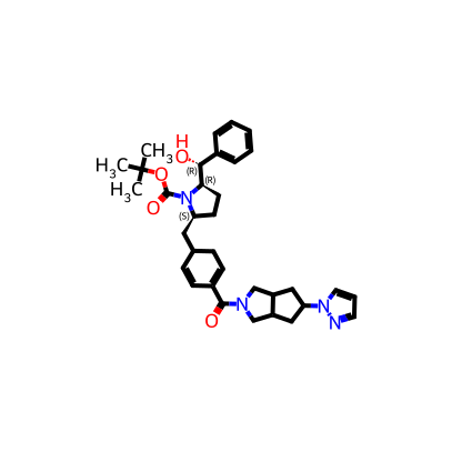 CC(C)(C)OC(=O)N1[C@H](CC2C=CC(C(=O)N3CC4CC(n5cccn5)CC4C3)=CC2)CC[C@@H]1[C@H](O)c1ccccc1